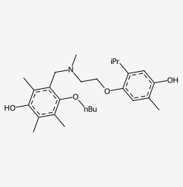 CCCCOc1c(C)c(C)c(O)c(C)c1CN(C)CCOc1cc(C)c(O)cc1C(C)C